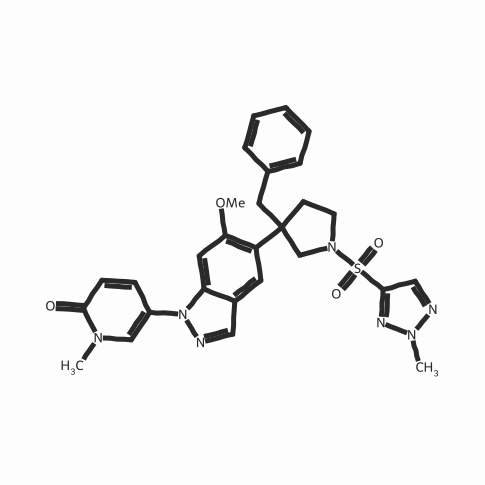 COc1cc2c(cnn2-c2ccc(=O)n(C)c2)cc1C1(Cc2ccccc2)CCN(S(=O)(=O)c2cnn(C)n2)C1